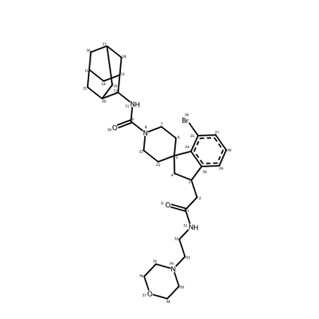 O=C(CC1CC2(CCN(C(=O)NC3C4CC5CC(C4)CC3C5)CC2)c2c(Br)cccc21)NCCN1CCOCC1